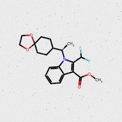 COC(=O)c1c(C(F)F)n([C@H](C)C2CCC3(CC2)OCCO3)c2ccccc12